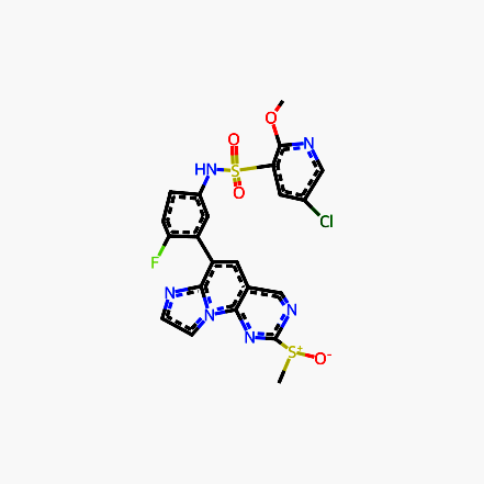 COc1ncc(Cl)cc1S(=O)(=O)Nc1ccc(F)c(-c2cc3cnc([S+](C)[O-])nc3n3ccnc23)c1